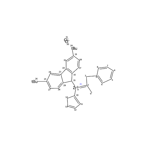 C/[C](Cc1ccccc1)=[Zr+2](\[C]1=CC=CC1)[CH]1c2ccc(C(C)(C)C)cc2-c2cc(C(C)(C)C)ccc21.[Cl-].[Cl-]